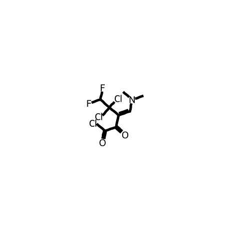 CN(C)C=C(C(=O)C(=O)Cl)C(Cl)(Cl)C(F)F